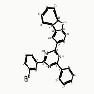 Brc1cccc(-c2nc(-c3ccccc3)nc(-c3ccc4oc5ccccc5c4c3)n2)c1